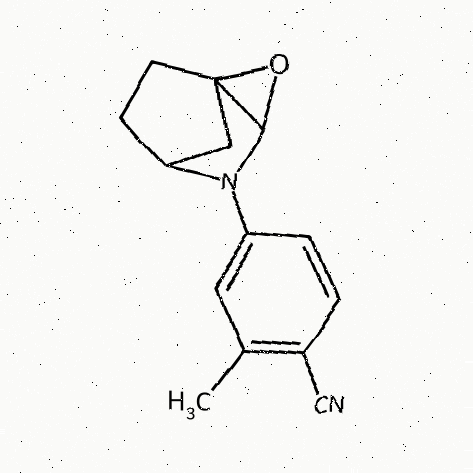 Cc1cc(N2C3CCC4(C3)OC24)ccc1C#N